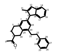 CC(=O)C1CCc2cc(C3C(C)=Cc4ccccc43)cc(CCc3ccccc3)c2C1